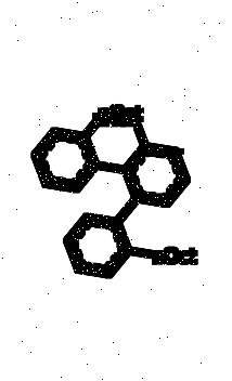 CCCCCCCCCc1[c]ccc(-c2ccccc2CCCCCCCC)c1-c1ccccc1CCCCCCCC